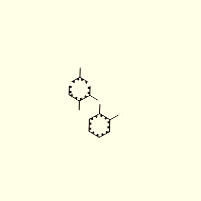 CC(=O)Nc1ccccc1Nc1nc(Cl)ncc1Cl